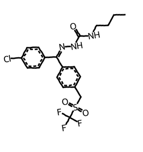 CCCCNC(=O)NN=C(c1ccc(Cl)cc1)c1ccc(CS(=O)(=O)C(F)(F)F)cc1